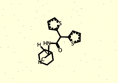 O=C(N[C@H]1CN2CCC1CC2)C(c1cccs1)c1cccs1